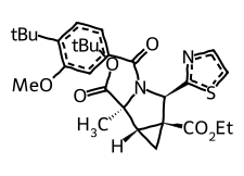 CCOC(=O)[C@@]12C[C@@H]1[C@@](C)(C(=O)OC(C)(C)C)N(C(=O)c1ccc(C(C)(C)C)c(OC)c1)[C@H]2c1nccs1